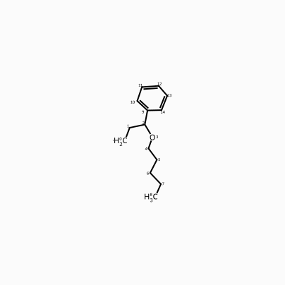 [CH2]CC(OCCCCC)c1ccccc1